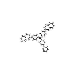 c1cncc(-c2ccc(N(c3ccc(-c4ccc5ccccc5c4)cc3)c3ccc(-c4ccc5ccccc5c4)cc3)cn2)c1